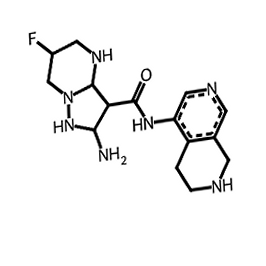 NC1NN2CC(F)CNC2C1C(=O)Nc1cncc2c1CCNC2